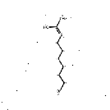 CC(O)=[SH]CCCCCCBr